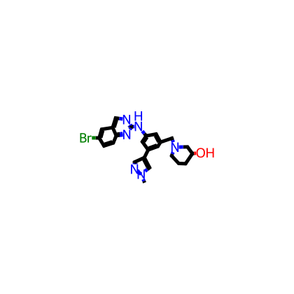 Cn1cc(-c2cc(CN3CCCC(O)C3)cc(Nc3ncc4cc(Br)ccc4n3)c2)cn1